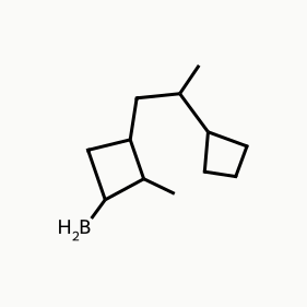 BC1CC(CC(C)C2CCC2)C1C